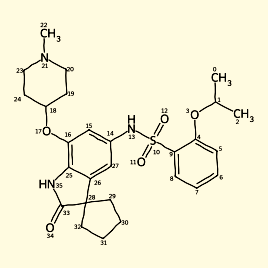 CC(C)Oc1ccccc1S(=O)(=O)Nc1cc(OC2CCN(C)CC2)c2c(c1)C1(CCCC1)C(=O)N2